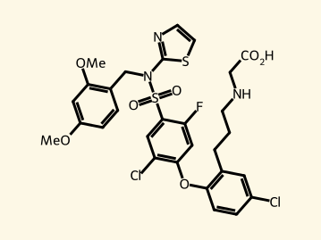 COc1ccc(CN(c2nccs2)S(=O)(=O)c2cc(Cl)c(Oc3ccc(Cl)cc3CCCNCC(=O)O)cc2F)c(OC)c1